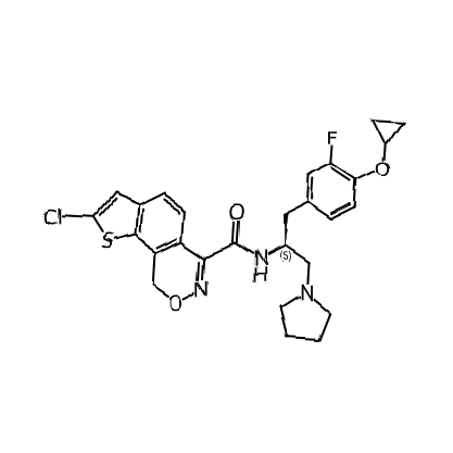 O=C(N[C@@H](Cc1ccc(OC2CC2)c(F)c1)CN1CCCC1)C1=NOCc2c1ccc1cc(Cl)sc21